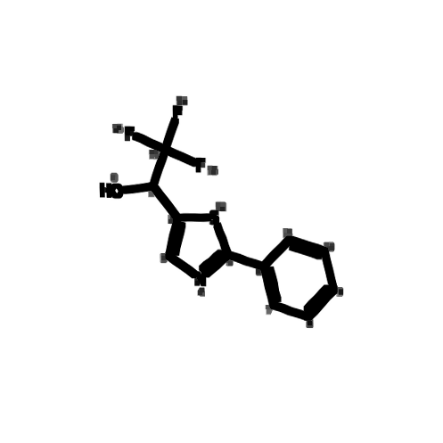 OC(c1cnc(-c2ccccc2)s1)C(F)(F)F